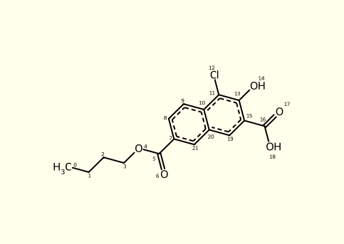 CCCCOC(=O)c1ccc2c(Cl)c(O)c(C(=O)O)cc2c1